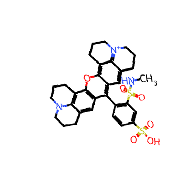 CNS(=O)(=O)c1cc(S(=O)(=O)O)ccc1C1=c2cc3c4c(c2Oc2c1cc1c5c2CCCN5CCC1)CCC[N+]=4CCC3